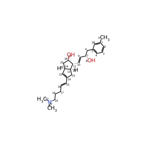 Cc1cccc(C[C@H](O)/C=C/[C@@H]2[C@H]3CC(/C=C/CCCN(C)C)=C[C@H]3C[C@H]2O)c1